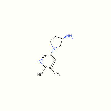 N#Cc1ncc(N2CC[C@@H](N)C2)cc1C(F)(F)F